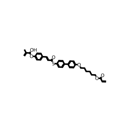 C=CC(=O)OCCCCCCOc1ccc(-c2ccc(SC(=O)/C=C/c3ccc(OC(O)C(=C)C)cc3)cc2)cc1